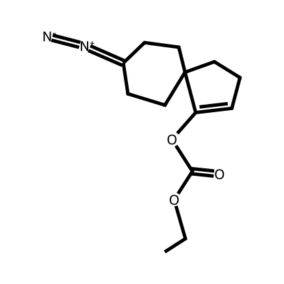 CCOC(=O)OC1=CCCC12CCC(=[N+]=[N-])CC2